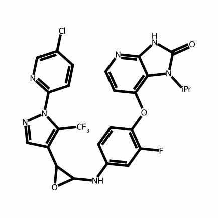 CC(C)n1c(=O)[nH]c2nccc(Oc3ccc(NC4OC4c4cnn(-c5ccc(Cl)cn5)c4C(F)(F)F)cc3F)c21